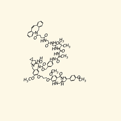 COc1ccc(C2=CN3C(=O)c4cc(OC)c(OCCCOc5cc6c(cc5OC)CN5CC7(CC7)C[C@H]5C(O)N6C(=O)OCc5ccc(NC(=O)[C@H](C)NC(=O)[C@@H](NC(=O)CNC(=O)CNC(=O)CCC(=O)N6Cc7ccccc7C#Cc7ccccc76)C(C)C)cc5)cc4NC[C@@H]3C2)cc1